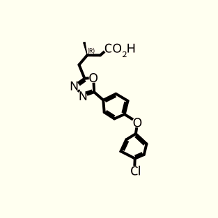 C[C@@H](CC(=O)O)Cc1nnc(-c2ccc(Oc3ccc(Cl)cc3)cc2)o1